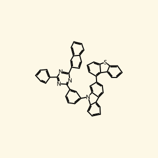 c1ccc(-c2nc(-c3cccc(-n4c5ccccc5c5ccc(-c6cccc7sc8ccccc8c67)cc54)c3)nc(-c3ccc4ccccc4c3)n2)cc1